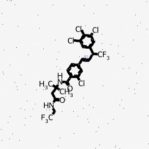 CC(C)(CC(=O)NCC(F)(F)F)NC(=O)c1ccc(/C=C/C(c2cc(Cl)c(Cl)c(Cl)c2)C(F)(F)F)cc1Cl